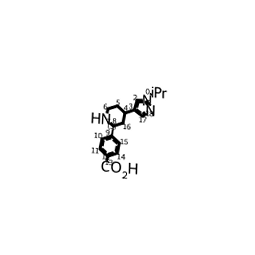 CC(C)n1cc(C2CCN[C@H](c3ccc(C(=O)O)cc3)C2)cn1